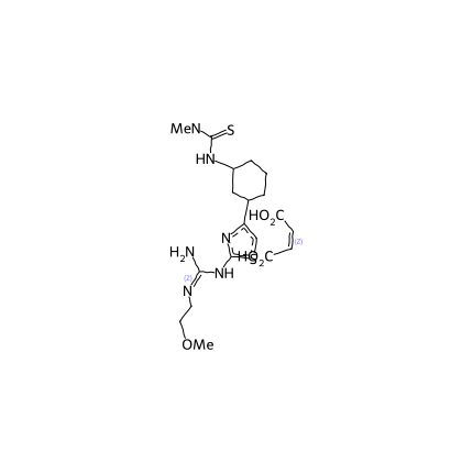 CNC(=S)NC1CCCC(c2csc(N/C(N)=N\CCOC)n2)C1.O=C(O)/C=C\C(=O)O